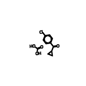 O=C(O)O.O=C(c1ccc(Cl)cc1)C1CC1